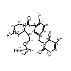 CCc1c[nH]c(=O)n(Cc2ccc(F)c(C(=O)N3CCN(CC)CC3CCO[Si](C)(C)C(C)(C)C)c2)c1=O